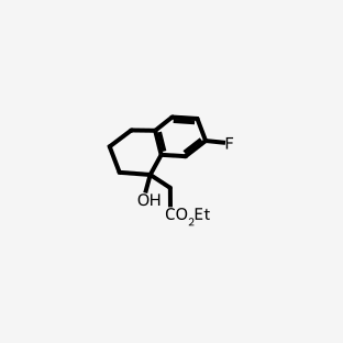 CCOC(=O)CC1(O)CCCc2ccc(F)cc21